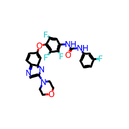 O=C(Nc1cccc(F)c1)Nc1cc(F)c(Oc2ccc3ncc(N4CCOCC4)nc3c2)c(F)c1F